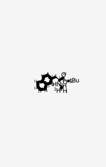 [2H]C([2H])([2H])N[C@@H](Cc1ccc2ccccc2c1)C(=O)OC(C)(C)C